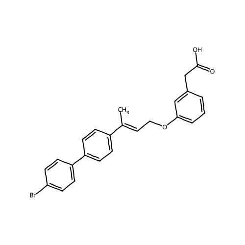 C/C(=C\COc1cccc(CC(=O)O)c1)c1ccc(-c2ccc(Br)cc2)cc1